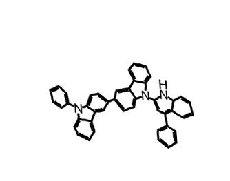 C1=CC2=C(c3ccccc3)C=C(n3c4ccccc4c4cc(-c5ccc6c(c5)c5ccccc5n6-c5ccccc5)ccc43)NC2C=C1